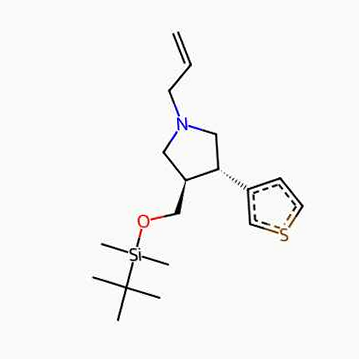 C=CCN1C[C@H](CO[Si](C)(C)C(C)(C)C)[C@@H](c2ccsc2)C1